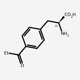 CCC(=O)c1ccc(C[C@H](N)C(=O)O)cc1